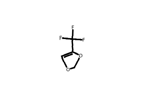 FC(F)(F)C1=COCO1